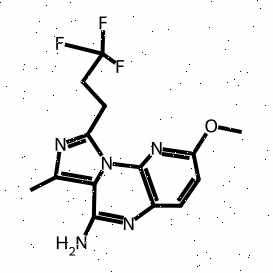 COc1ccc2nc(N)c3c(C)nc(CCC(F)(F)F)n3c2n1